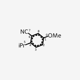 COc1ccc(C(C)C)c(C#N)c1